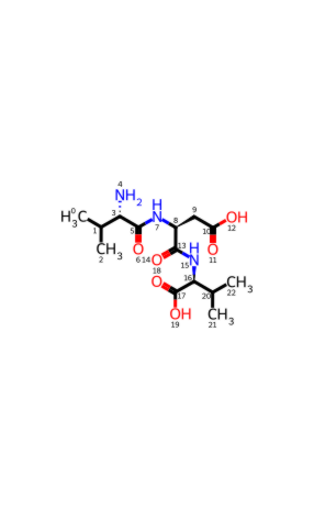 CC(C)[C@H](N)C(=O)N[C@@H](CC(=O)O)C(=O)N[C@H](C(=O)O)C(C)C